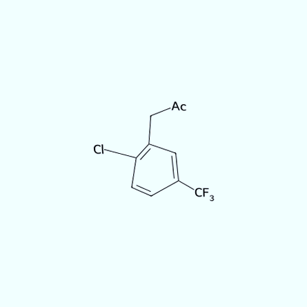 CC(=O)Cc1cc(C(F)(F)F)ccc1Cl